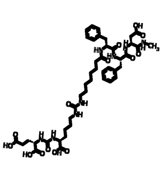 CNC(=O)[C@H](CC(=O)O)NC(=O)[C@H](Cc1ccccc1)NC(=O)[C@H](Cc1ccccc1)NC(=O)CCCCCCCNC(=O)NCCCC[C@H](NC(=O)N[C@@H](CCC(=O)O)C(=O)O)C(=O)O